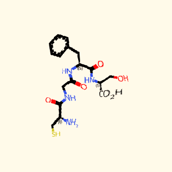 N[C@@H](CS)C(=O)NCC(=O)N[C@@H](Cc1ccccc1)C(=O)N[C@@H](CO)C(=O)O